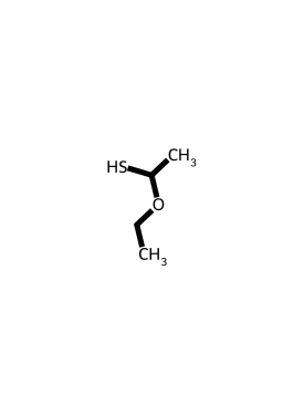 CCOC(C)S